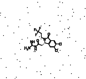 N=C(N)NC(=O)C[C@H]1c2cc(Cl)c(Cl)cc2C(=O)N1CCC(F)(F)F